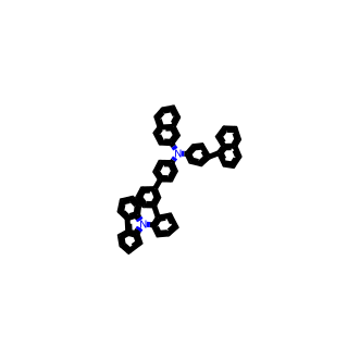 c1cc(-c2ccc(N(c3ccc(-c4cccc5ccccc45)cc3)c3ccc4ccccc4c3)cc2)cc(-c2ccccc2-n2c3ccccc3c3ccccc32)c1